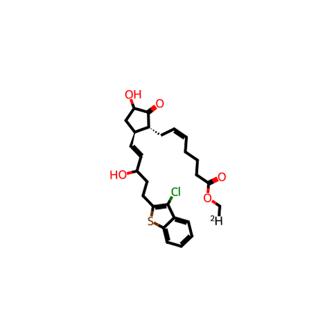 [2H]COC(=O)CCC/C=C\C[C@H]1C(=O)C(O)C[C@@H]1/C=C/C(O)CCc1sc2ccccc2c1Cl